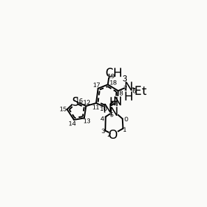 C1COCCN1.CCNc1nnc(-c2cccs2)cc1C